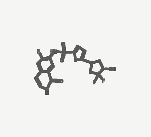 O=c1[nH]ccc2cc(F)c(NS(=O)(=O)c3ccc(C4CC(O)C(F)(F)C4)s3)cc12